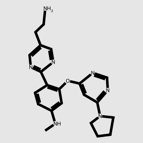 CNc1ccc(-c2ncc(CCN)cn2)c(Oc2cc(N3CCCC3)ncn2)c1